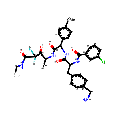 COc1ccc(C(NC(=O)C(Cc2ccc(CN)cc2)NC(=O)c2cccc(Cl)c2)C(=O)NC(C(=O)C(F)(F)C(=O)NCC(F)(F)F)C(C)C)cc1